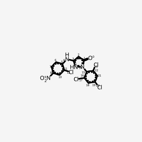 O=c1cc(Nc2ccc([N+](=O)[O-])cc2Cl)[nH]n1-c1c(Cl)cc(Cl)cc1Cl